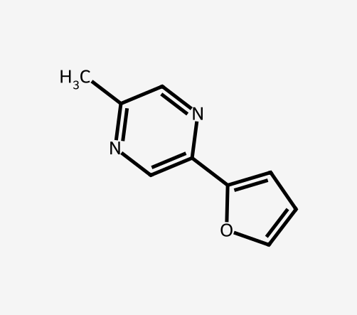 Cc1cnc(-c2ccco2)cn1